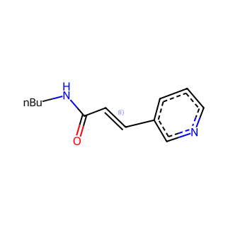 CCCCNC(=O)/C=C/c1cccnc1